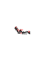 C=C1COC(CCCCCC(OC)C2CC(O)[C@H]3OC(CC(=O)CC4CCO[C@H]4C)CCC3O2)C1